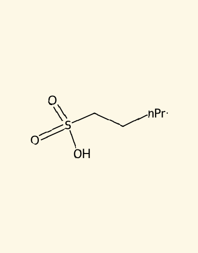 CC[CH]CCS(=O)(=O)O